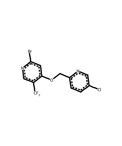 FC(F)(F)c1cnc(Br)cc1OCc1ccc(Cl)cn1